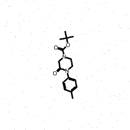 Cc1ccc(N2CCN(C(=O)OC(C)(C)C)CC2=O)cc1